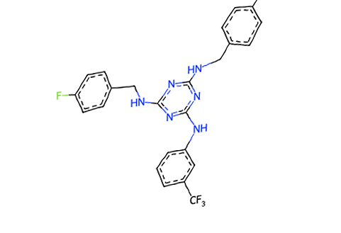 CN(C)c1ccc(CNc2nc(NCc3ccc(F)cc3)nc(Nc3cccc(C(F)(F)F)c3)n2)cc1